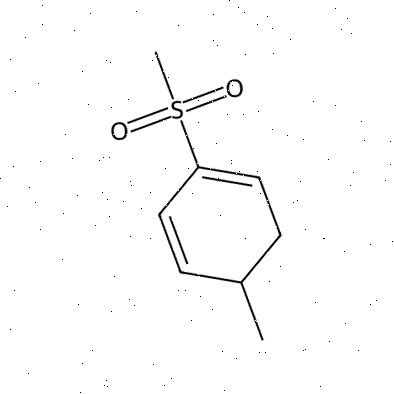 CC1C=CC(S(C)(=O)=O)=CC1